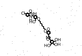 COc1ccc(-c2cc(-c3cc(CO)c(CO)c(CO)c3)on2)cc1OCCCCCCCCOc1ccc(C2NC(=O)c3cc(Cl)ccc3N2)cc1CO